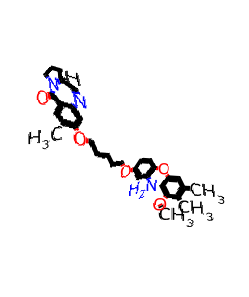 COc1cc(Oc2ccc(OCCCCCOc3cc4c(cc3C)C(=O)N3CCC[C@H]3C=N4)cc2N)cc(C)c1C